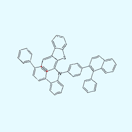 c1ccc(-c2ccc(-c3ccccc3N(c3ccc(-c4ccc5ccccc5c4-c4ccccc4)cc3)c3cccc4c3sc3ccccc34)cc2)cc1